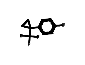 Fc1[c]cc(C2(C(F)(F)F)CC2)cc1